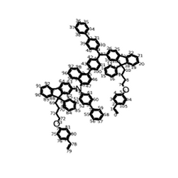 C=Cc1ccc(OCCCCC2(c3ccccc3)c3ccccc3-c3ccc(C(c4ccc(-c5ccccc5)cc4)c4ccc(-c5ccc(N(c6ccc(-c7ccccc7)cc6)c6ccc7c(c6)C(CCCCOc6ccc(C=C)cc6)(c6ccccc6)c6ccccc6-7)c6ccccc56)cc4)cc32)cc1